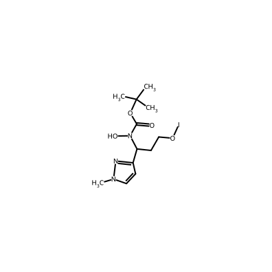 Cn1ccc(C(CCOI)N(O)C(=O)OC(C)(C)C)n1